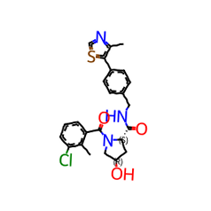 Cc1ncsc1-c1ccc(CNC(=O)[C@@H]2C[C@@H](O)CN2C(=O)c2cccc(Cl)c2C)cc1